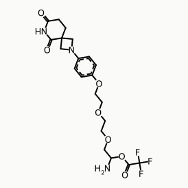 NC(COCCOCCOc1ccc(N2CC3(CCC(=O)NC3=O)C2)cc1)OC(=O)C(F)(F)F